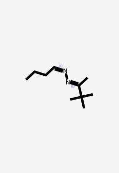 CCC/C=N\N=C(/C)C(C)(C)C